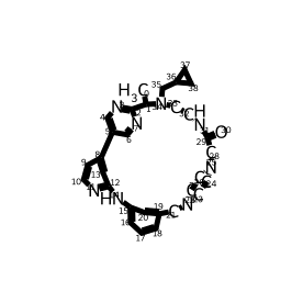 CC1c2ncc(cn2)-c2ccnc(c2)Nc2cccc(c2)CN2CCN(CC2)CC(=O)NCCN1CC1CC1